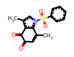 CC1=CC(=O)C(=O)c2c(C)cn(S(=O)(=O)c3ccccc3)c21